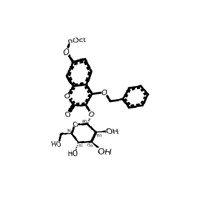 CCCCCCCCOc1ccc2c(OCc3ccccc3)c(O[C@H]3O[C@H](CO)[C@@H](O)[C@H](O)[C@@H]3O)c(=O)oc2c1